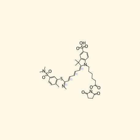 C\N=C(/C=C/C=C/C=C1/N(CCCCCC(=O)ON2C(=O)CCC2=O)c2ccc(S(=O)(=O)O)cc2C1(C)C)Sc1cc(S(=O)(=O)N(C)C)ccc1C